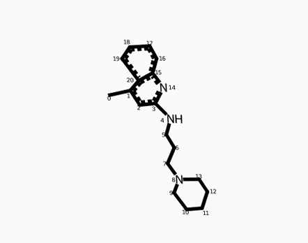 Cc1cc(NCCCN2CCCCC2)nc2ccccc12